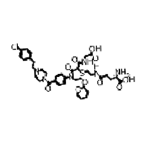 N[C@H](CCC(=O)NCCSC(C(=O)NCC(=O)O)C(=O)N(CCOC1CCCCO1)c1ccc(C(=O)N2CCN(CCc3ccc(Cl)cc3)CC2)cc1)C(=O)O